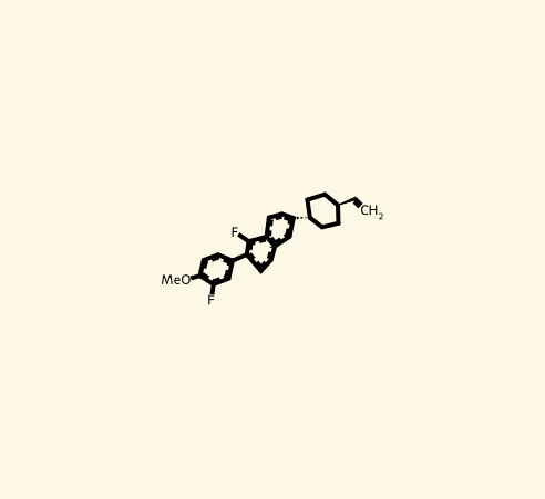 C=C[C@H]1CC[C@H](c2ccc3c(F)c(-c4ccc(OC)c(F)c4)ccc3c2)CC1